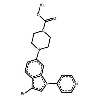 CC(C)(C)OC(=O)N1CCN(c2ccc3c(Br)cn(-c4ccncc4)c3c2)CC1